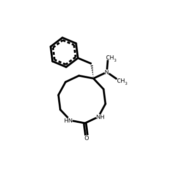 CN(C)[C@]1(Cc2ccccc2)CCCCNC(=O)NCC1